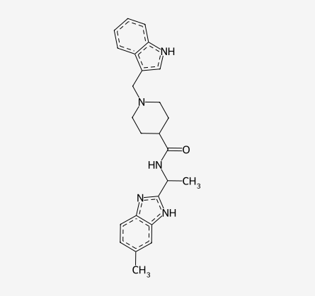 Cc1ccc2nc(C(C)NC(=O)C3CCN(Cc4c[nH]c5ccccc45)CC3)[nH]c2c1